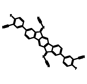 N#C/N=c1\c2cc(-c3ccc(F)c(C#N)c3)ccc2c2cc3/c(=N/C#N)c4cc(-c5ccc(F)c(C#N)c5)ccc4c3cc12